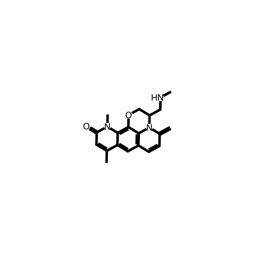 C=C1C=Cc2cc3c(C)cc(=O)n(C)c3c3c2N1C(CNC)CO3